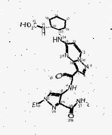 CCn1cc(NC(=O)c2cnn3ccc(N[C@H]4CCCC[C@H]4NC(=O)O)nc23)c(C(N)=O)n1